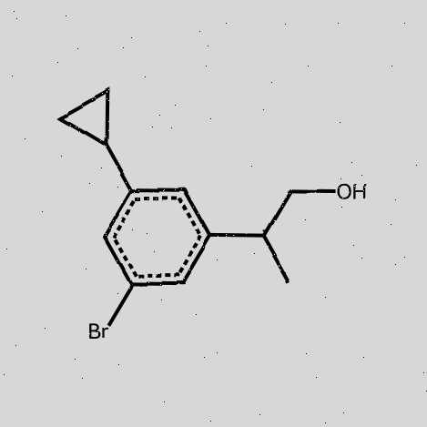 C[C](CO)c1cc(Br)cc(C2CC2)c1